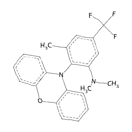 Cc1cc(C(F)(F)F)cc(N(C)C)c1N1c2ccccc2Oc2ccccc21